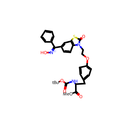 COC(=O)C(Cc1ccc(OCCn2c(=O)sc3cc(/C(=N/O)c4ccccc4)ccc32)cc1)NC(=O)OC(C)(C)C